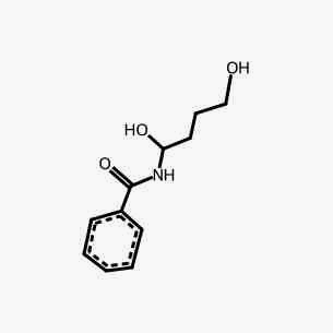 O=C(NC(O)CCCO)c1ccccc1